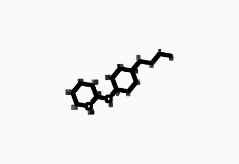 CCCCC1CCC(OC2CCCCO2)CC1